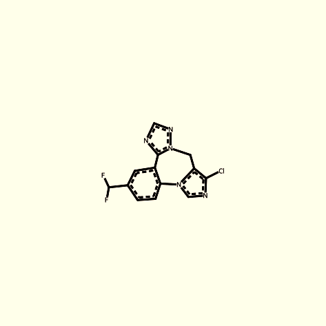 FC(F)c1ccc2c(c1)-c1ncnn1Cc1c(Cl)ncn1-2